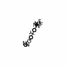 CC(C)C(C)(c1ccc(OCc2ncccn2)cc1)c1ccc(-c2nnn(C(F)F)n2)cc1